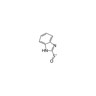 O=[S+]c1nc2ccccc2[nH]1